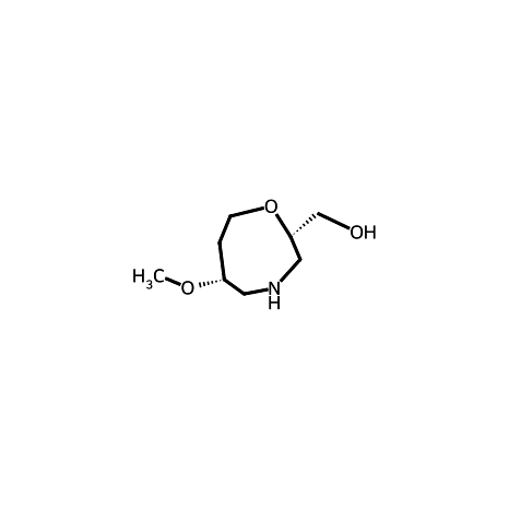 CO[C@@H]1CCO[C@H](CO)CNC1